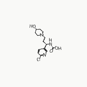 O=C(O)N[C@H](CCN1CCC(O)CC1)c1ccc(Cl)nc1